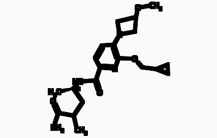 COC1CN(c2ccc(C(=O)N[C@@H](C)CC(C)C(N)=O)nc2OCC2CC2)C1